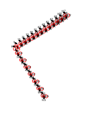 CCO.CCOC(C)=O.CCOC(C)=O.CCOC(C)=O.CCOC(C)=O.CCOC(C)=O.CCOC(C)=O.CCOC(C)=O.CCOC(C)=O.CCOC(C)=O.CCOC(C)=O.CCOC(C)=O.CCOC(C)=O.CCOC(C)=O.CCOC(C)=O.CCOC(C)=O.CCOC(C)=O.CCOC(C)=O.CCOC(C)=O.CCOC(C)=O.CCOC(C)=O